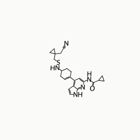 N#CCC1(CSNC2CC=C(c3cc(NC(=O)C4CC4)nc4[nH]ccc34)CC2)CC1